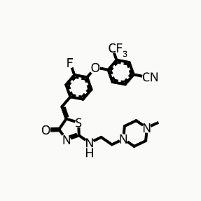 CN1CCN(CCNC2=NC(=O)C(=Cc3ccc(Oc4ccc(C#N)cc4C(F)(F)F)c(F)c3)S2)CC1